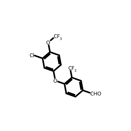 O=Cc1ccc(Oc2ccc(OC(F)(F)F)c(Cl)c2)c(C(F)(F)F)c1